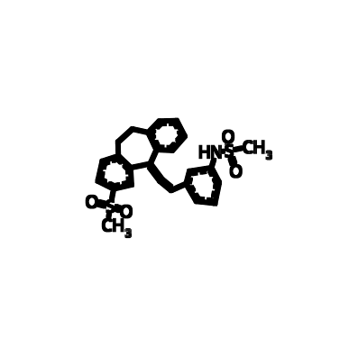 CS(=O)(=O)Nc1cccc(C=C=C2c3ccccc3CCc3ccc(S(C)(=O)=O)cc32)c1